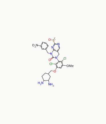 COc1cc(OCC2CCC(N)C(N)C2)c(Cl)c(N2Cc3cnc([S+](C)[O-])nc3N(Cc3cccc([N+](=O)[O-])c3)C2=O)c1Cl